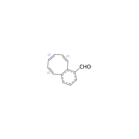 O=[C]c1cccc2c1\C=C/C=C\C=C/2